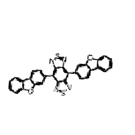 c1ccc2c(c1)oc1cc(-c3c4c(c(-c5ccc6c(c5)oc5ccccc56)c5nsnc35)N=S=N4)ccc12